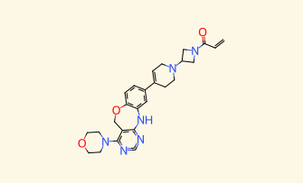 C=CC(=O)N1CC(N2CC=C(c3ccc4c(c3)Nc3ncnc(N5CCOCC5)c3CO4)CC2)C1